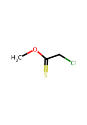 COC(=S)CCl